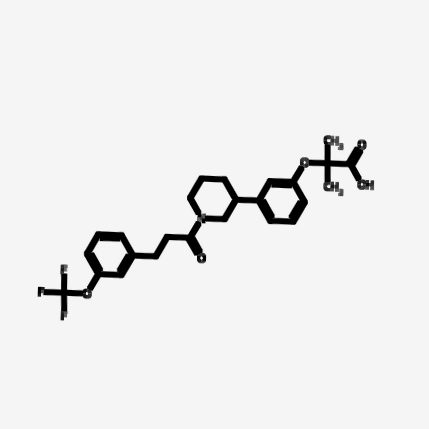 CC(C)(Oc1cccc(C2CCCN(C(=O)CCc3cccc(OC(F)(F)F)c3)C2)c1)C(=O)O